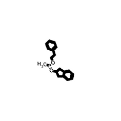 CP(OCCc1ccccc1)OC1Cc2ccccc2C1